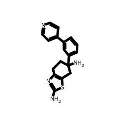 Nc1nc2c(s1)CC(N)(c1cccc(-c3ccncc3)c1)CC2